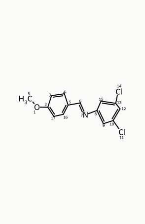 COc1ccc(/C=N/c2cc(Cl)cc(Cl)c2)cc1